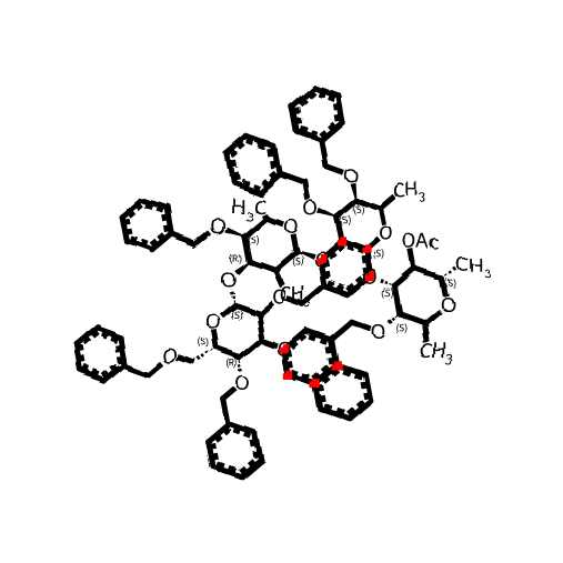 CC(=O)OC1[C@H](C)OC(C)[C@H](OCc2ccccc2)[C@@H]1O[C@@H]1OC(C)[C@H](OCc2ccccc2)[C@H](OCc2ccccc2)C1O[C@@H]1OC(C)[C@H](OCc2ccccc2)[C@H](O[C@H]2O[C@@H](COCc3ccccc3)[C@@H](OCc3ccccc3)C(OCc3ccccc3)C2OCc2ccccc2)C1C